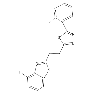 Cc1ccccc1-c1nnc(CCc2nc3c(F)cccc3s2)s1